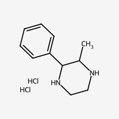 CC1NCCNC1c1ccccc1.Cl.Cl